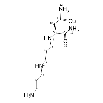 NCCCNCCCN[C@@H](CC(N)=O)C(N)=O